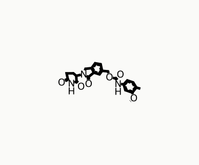 COc1cc(NC(=O)OCc2ccc3c(c2)C(=O)N(C2CCC(=O)NC2=O)C3)ccc1C